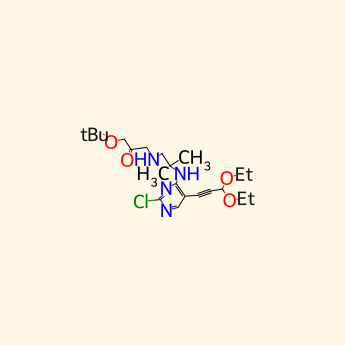 CCOC(C#Cc1cnc(Cl)nc1NC(C)(C)CNCC(=O)COC(C)(C)C)OCC